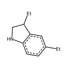 CCc1ccc2c(c1)C(CC)CN2